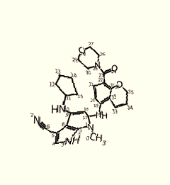 CN1c2[nH]cc(C#N)c2C(NC2CCCC2)=CC1Nc1ccc(C(=O)N2CCOCC2)c2c1CCCO2